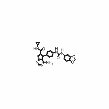 Nc1ncnn2cc(C(=O)NC3CC3)c(-c3ccc(NC(=O)Nc4ccc5c(c4)OCO5)cc3)c12